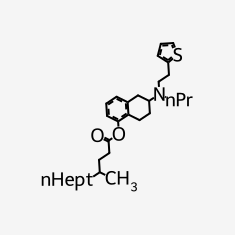 CCCCCCCC(C)CCC(=O)Oc1cccc2c1CCC(N(CCC)CCc1cccs1)C2